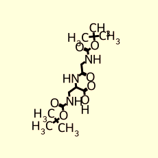 CC(C)(C)OC(=O)NCC(=O)NC(CNC(=O)OC(C)(C)C)C(=O)O